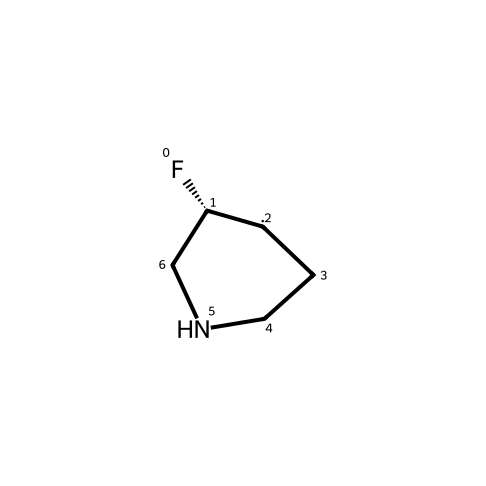 F[C@@H]1[CH]CCNC1